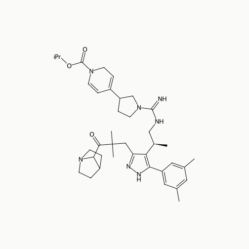 Cc1cc(C)cc(-c2[nH]nc(CC(C)(C)C(=O)C3C4CCN3CC4)c2[C@H](C)CNC(=N)N2CCC(C3=CCN(C(=O)OC(C)C)C=C3)C2)c1